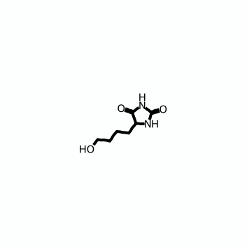 O=C1NC(=O)C(CCCCO)N1